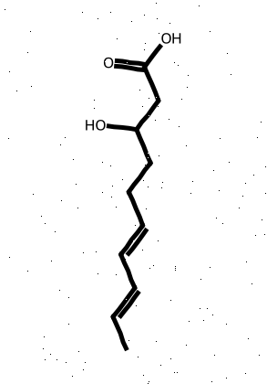 CC=CC=CCCC(O)CC(=O)O